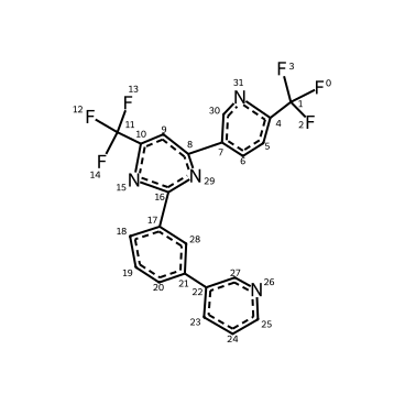 FC(F)(F)c1ccc(-c2cc(C(F)(F)F)nc(-c3cccc(-c4cccnc4)c3)n2)cn1